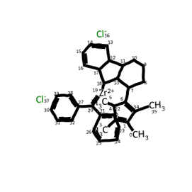 CC1=C(C)C(C)C(C2CCCC3C4C=CC=CC4[CH]([Zr+2]=[C](c4ccccc4)c4ccccc4)C23)=C1C.[Cl-].[Cl-]